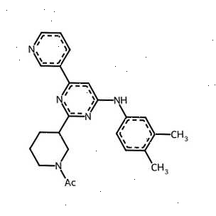 CC(=O)N1CCCC(c2nc(Nc3ccc(C)c(C)c3)cc(-c3cccnc3)n2)C1